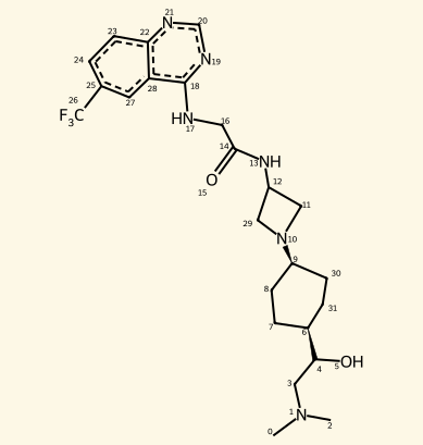 CN(C)CC(O)[C@H]1CC[C@@H](N2CC(NC(=O)CNc3ncnc4ccc(C(F)(F)F)cc34)C2)CC1